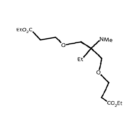 CCOC(=O)CCOCC(CC)(COCCC(=O)OCC)NC